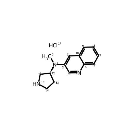 CN(c1cnc2ccccc2c1)[C@H]1CCNC1.Cl